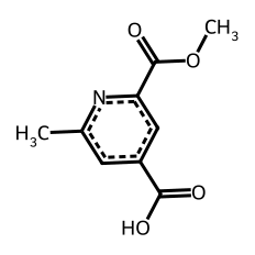 COC(=O)c1cc(C(=O)O)cc(C)n1